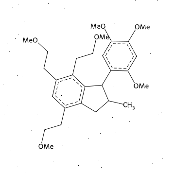 COCCc1cc(CCOC)c2c(c1CCOC)C(c1cc(OC)c(OC)cc1OC)C(C)C2